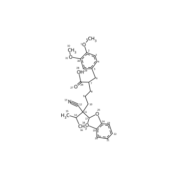 COc1ccc(CC(CCCC(C#N)(C(C)C)C2Oc3ccccc3O2)C(=O)O)cc1OC